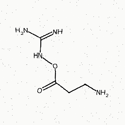 N=C(N)NOC(=O)CCN